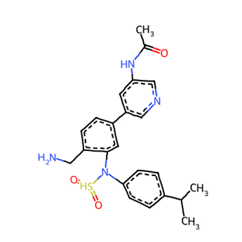 CC(=O)Nc1cncc(-c2ccc(CN)c(N(c3ccc(C(C)C)cc3)[SH](=O)=O)c2)c1